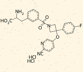 Cl.Cl.N#Cc1ccc(OC2(c3ccc(F)cc3)CN(S(=O)(=O)c3cccc(CC(N)C(=O)O)c3)C2)cn1